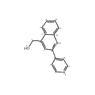 OCc1cc(-c2ccncc2)nc2ccccc12